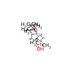 C[C@@H](CO)C1CCC2[C@@H](O[Si](C)(C)C(C)(C)C)CCCC21C